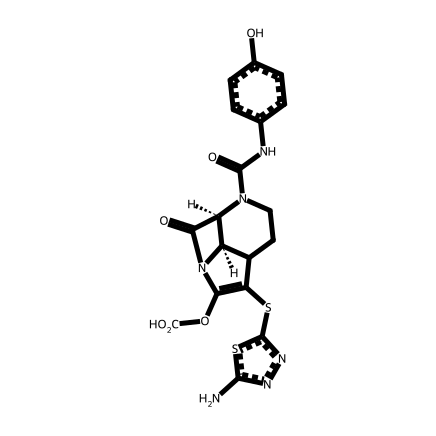 Nc1nnc(SC2=C(OC(=O)O)N3C(=O)[C@@H]4[C@H]3C2CCN4C(=O)Nc2ccc(O)cc2)s1